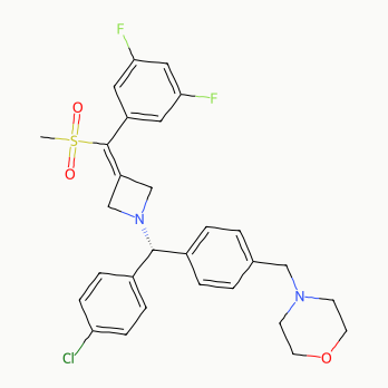 CS(=O)(=O)C(=C1CN([C@@H](c2ccc(Cl)cc2)c2ccc(CN3CCOCC3)cc2)C1)c1cc(F)cc(F)c1